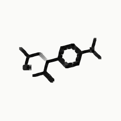 C=C(C)[C@H](CC(C)O)c1ccc(N(C)C)cc1